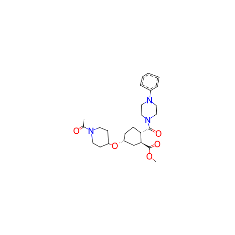 COC(=O)[C@H]1C[C@H](OC2CCN(C(C)=O)CC2)CC[C@@H]1C(=O)N1CCN(c2ccccc2)CC1